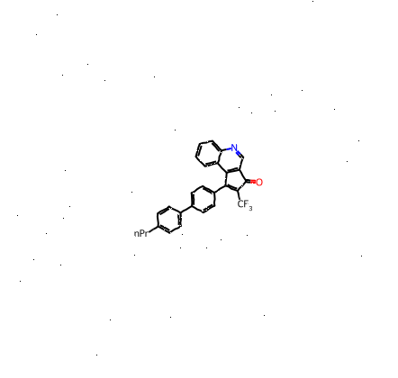 CCCc1ccc(-c2ccc(C3=C(C(F)(F)F)C(=O)c4cnc5ccccc5c43)cc2)cc1